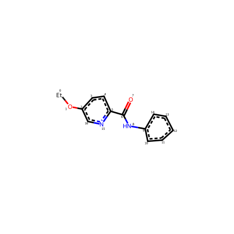 CCOc1ccc(C(=O)Nc2ccccc2)nc1